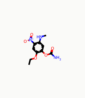 CCOc1cc([N+](=O)[O-])c(NC)cc1OC(N)=O